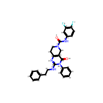 O=C(Nc1ccc(F)c(F)c1)N1CCc2nc(NCCc3ccccc3)n(-c3ccccc3)c(=O)c2C1